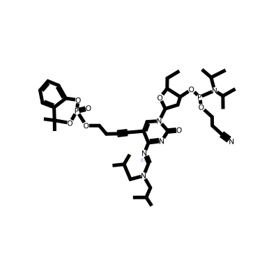 CCC1OC(n2cc(C#CCCOP3(=O)Oc4ccccc4C(C)(C)O3)c(/N=C/N(CC(C)C)CC(C)C)nc2=O)CC1OP(OCCC#N)N(C(C)C)C(C)C